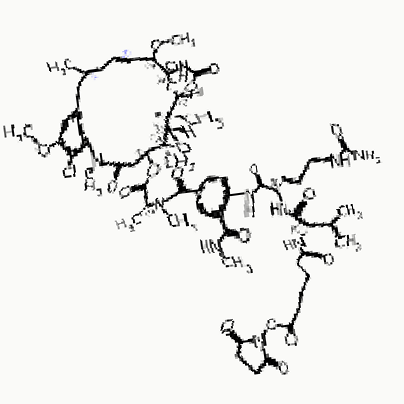 CNC(=O)c1cc(C(=O)N(C)[C@@H](C)C(=O)O[C@H]2CC(=O)N(C)c3cc(cc(OC)c3Cl)C/C(C)=C/C=C/[C@@H](OC)[C@@]3(O)C[C@H](OC(=O)N3)[C@@H](C)[C@@H]3O[C@@]23C)ccc1NC(=O)[C@H](CCCNC(N)=O)NC(=O)[C@@H](NC(=O)CCCCC(=O)ON1C(=O)CCC1=O)C(C)C